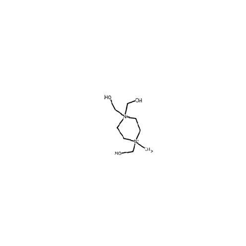 C[N+]1(CO)CC[N+](CO)(CO)CC1